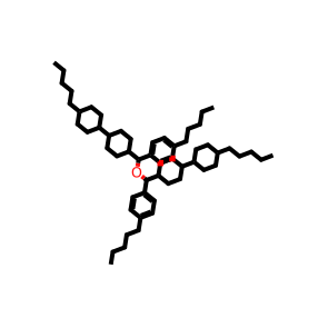 CCCCCc1ccc(C(OC(c2ccc(CCCCC)cc2)C2CCC(C3CCC(CCCCC)CC3)CC2)C2CCC(C3CCC(CCCCC)CC3)CC2)cc1